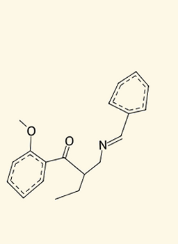 CCC(CN=Cc1ccccc1)C(=O)c1ccccc1OC